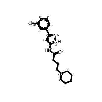 O=C(CCCN1CCCCC1)Nc1cc(-c2cccc(Cl)c2)n[nH]1